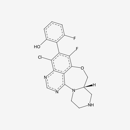 Oc1cccc(F)c1-c1c(F)c2c3c(ncnc3c1Cl)N1CCNC[C@H]1CO2